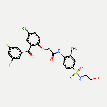 Cc1cc(S(=O)(=O)NCCO)ccc1NC(=O)COc1ccc(Cl)cc1C(=O)c1cc(F)cc(F)c1